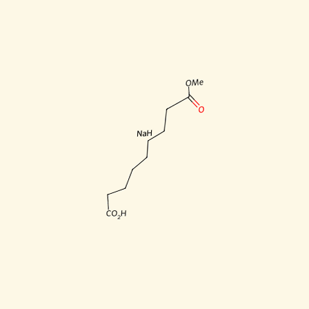 COC(=O)CCCCCCCC(=O)O.[NaH]